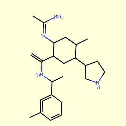 C=C(NC(C)C1=C=C(C)C=CC1)C1CC(C2CCNC2)C(C)CC1/N=C(/C)N